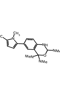 CNC1Nc2ccc(-c3ccc(C#N)n3C)cc2C(NC)(NC)O1